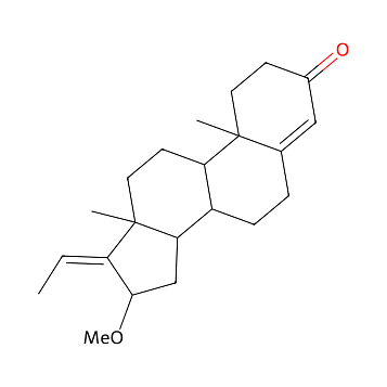 CC=C1C(OC)CC2C3CCC4=CC(=O)CCC4(C)C3CCC12C